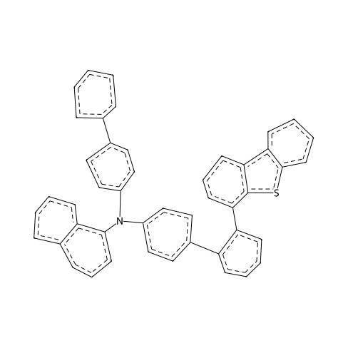 c1ccc(-c2ccc(N(c3ccc(-c4ccccc4-c4cccc5c4sc4ccccc45)cc3)c3cccc4ccccc34)cc2)cc1